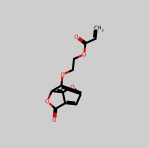 C=CC(=O)OCCOc1c2c3oc1cc3C(=O)O2